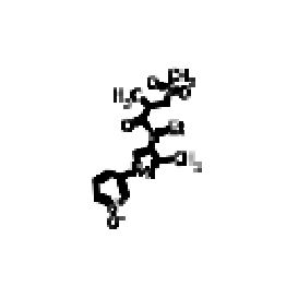 CCN(C(=O)C(C)CS(C)(=O)=O)c1cn(-c2ccc[n+]([O-])c2)nc1C